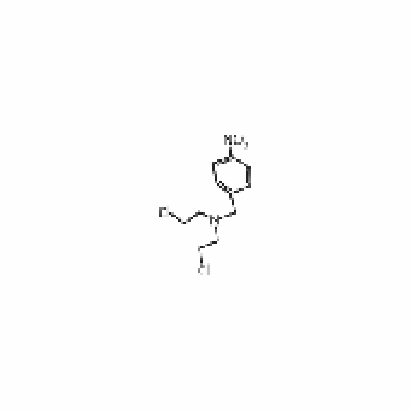 O=[N+]([O-])c1ccc(CN(CCCl)CCCl)cc1